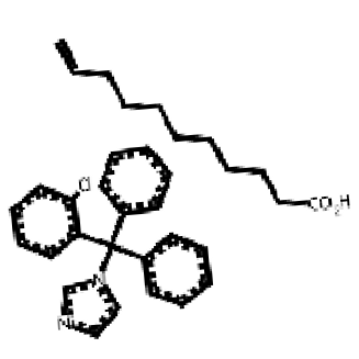 C=CCCCCCCCCC(=O)O.Clc1ccccc1C(c1ccccc1)(c1ccccc1)n1ccnc1